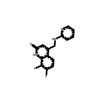 O=c1cc(CNc2ccccn2)c2ccc(F)c(F)c2[nH]1